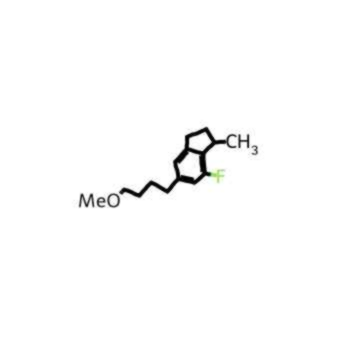 COCCCCc1cc(F)c2c(c1)CCC2C